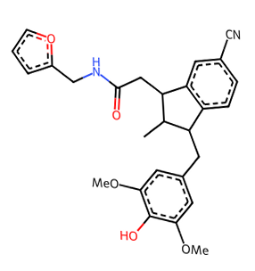 COc1cc(CC2c3ccc(C#N)cc3C(CC(=O)NCc3ccco3)C2C)cc(OC)c1O